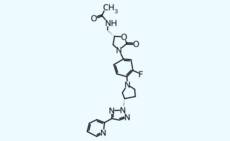 CC(=O)NC[C@H]1CN(c2ccc(N3CC[C@H](n4ncc(-c5ccccn5)n4)C3)c(F)c2)C(=O)O1